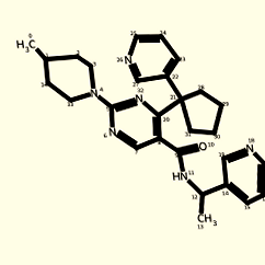 CC1CCN(c2ncc(C(=O)NC(C)c3cccnc3)c(C3(c4cccnc4)CCCC3)n2)CC1